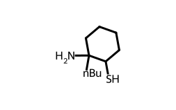 CCCCC1(N)CCCCC1S